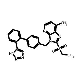 CCS(=O)(=O)c1nc2c(C)ccnc2n1Cc1ccc(-c2ccccc2-c2nnn[nH]2)cc1